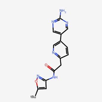 CC(C)(C)c1cc(NC(=O)Cc2ccc(-c3cnc(N)nc3)cn2)no1